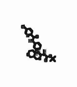 CC(C)(C)OC(=O)NC1=N[C@@]2(c3cccc(NC(=O)c4ccc(Cl)cn4)c3)CCOCC2CS1